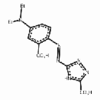 CCN(CC)c1ccc(N=Nc2nnc(C(=O)O)[nH]2)c(C(=O)O)c1